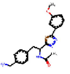 COc1cccc(-c2nnc(C(Cc3ccc(CN)cc3)NC(C)=O)s2)c1